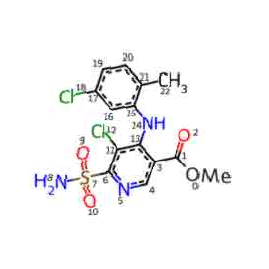 COC(=O)c1cnc(S(N)(=O)=O)c(Cl)c1Nc1cc(Cl)ccc1C